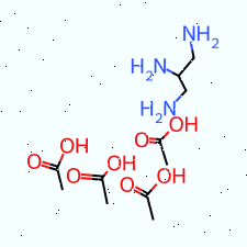 CC(=O)O.CC(=O)O.CC(=O)O.CC(=O)O.NCC(N)CN